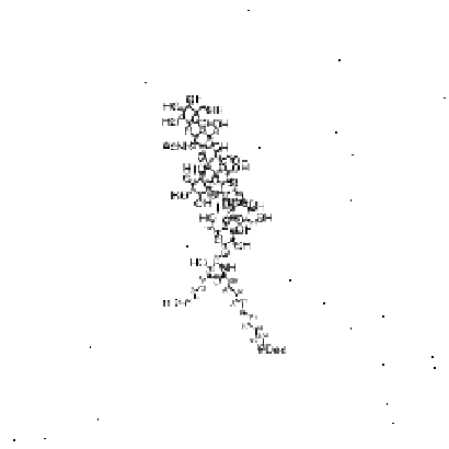 CCCCCCCCCCCCC/C=C/[C@@H](O)[C@H](CO[C@@H]1OC(CO)[C@@H](O[C@@H]2OC(CO)[C@H](O)[C@H](O[C@@H]3OC(CO)[C@@H](O[C@@H]4OC(CO)[C@H](O)[C@H](O[C@@H]5OC(CO)[C@@H](O)[C@H](O[C@@H]6OC(CO)[C@H](O)[C@H](O)C6O)C5NC(C)=O)C4O)[C@H](O[C@H]4OC(C)[C@@H](O)C(O)[C@@H]4O)C3NC(C)=O)C2O)[C@H](O)C1O)NC(=O)CCCCCCCCCCCCCCCCCCCCC